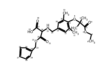 CCOC(=O)C(C)(C)Oc1c(C)cc(CNC(C(=O)O)C(=O)OCc2ccccc2)cc1C